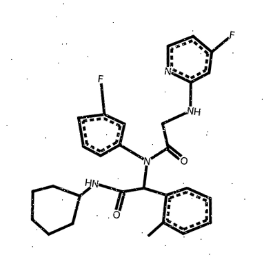 Cc1ccccc1C(C(=O)NC1CCCCC1)N(C(=O)CNc1cc(F)ccn1)c1cccc(F)c1